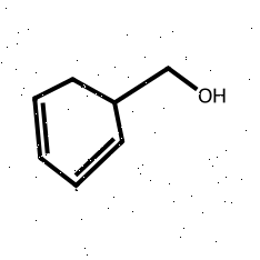 OCC1C=[C]C=CC1